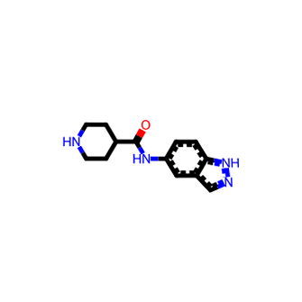 O=C(Nc1ccc2[nH]ncc2c1)C1CCNCC1